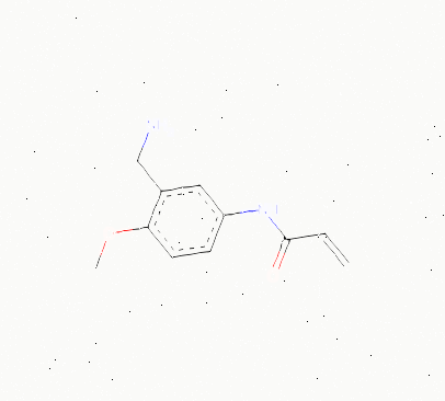 C=CC(=O)Nc1ccc(OC)c(CN)c1